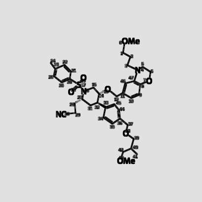 COCCCN1CCOc2ccc(CO[C@H]3CN(S(=O)(=O)c4ccc(C)cc4)[C@@H](CCC#N)C[C@@H]3c3ccc(COCC(C)COC)cc3)cc21